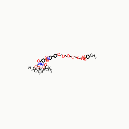 Cc1ccc(S(=O)(=O)OCCOCCOCCOCCOCCOc2ccc(C3CCN(S(=O)(=O)c4ccc5c(c4)N(C(=O)OC(C)(C)C)CN(CC(=O)OC(C)(C)C)C5=O)CC3)cc2)cc1